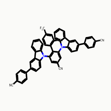 N#Cc1ccc(-c2ccc3c(c2)c2ccccc2n3-c2cc(C#N)cc(-n3c4ccccc4c4cc(-c5ccc(C#N)cc5)ccc43)c2-c2ccc(C(F)(F)F)cc2C#N)cc1